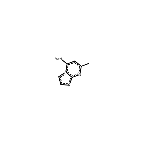 CNc1cc(C)nc2nccn12